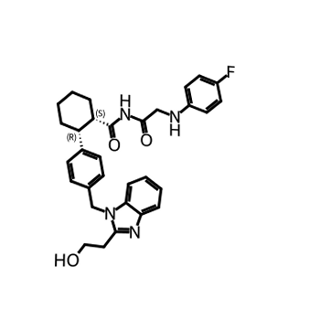 O=C(CNc1ccc(F)cc1)NC(=O)[C@H]1CCCC[C@H]1c1ccc(Cn2c(CCO)nc3ccccc32)cc1